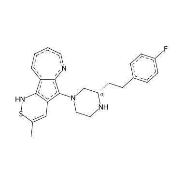 CC1=Cc2c(c3ccccnc-3c2N2CCN[C@@H](CCc3ccc(F)cc3)C2)NS1